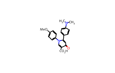 COc1ccc(-n2cc(C(=O)O)c(=O)cc2-c2ccc(N(C)C)cc2)cc1